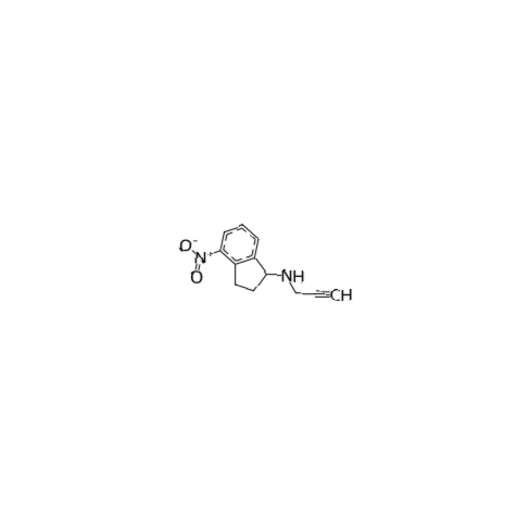 C#CCNC1CCc2c1cccc2[N+](=O)[O-]